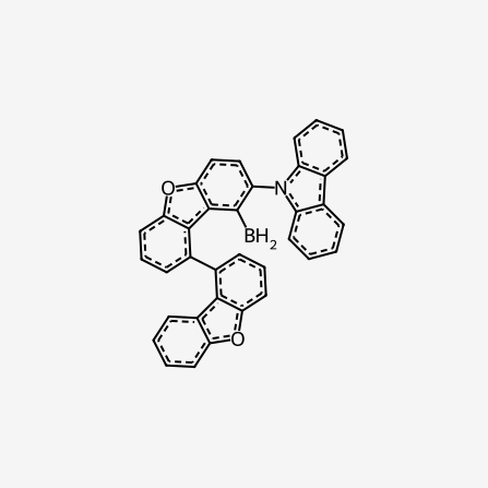 Bc1c(-n2c3ccccc3c3ccccc32)ccc2oc3cccc(-c4cccc5oc6ccccc6c45)c3c12